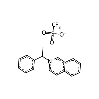 CC(c1ccccc1)[n+]1ccc2ccccc2c1.O=S(=O)([O-])C(F)(F)F